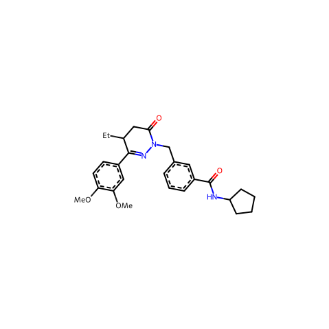 CCC1CC(=O)N(Cc2cccc(C(=O)NC3CCCC3)c2)N=C1c1ccc(OC)c(OC)c1